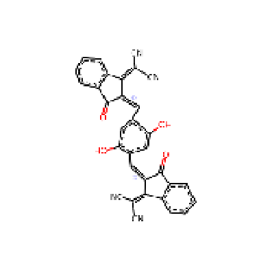 N#CC(C#N)=C1/C(=C/c2cc(O)c(/C=C3\C(=O)c4ccccc4C3=C(C#N)C#N)cc2O)C(=O)c2ccccc21